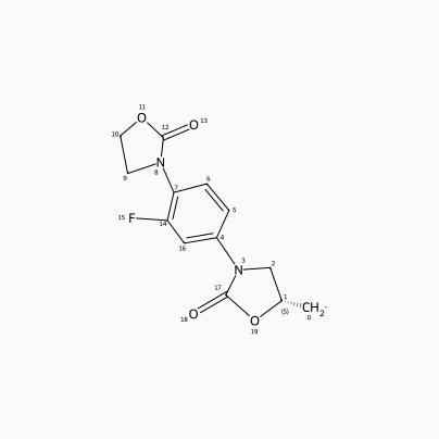 [CH2][C@H]1CN(c2ccc(N3CCOC3=O)c(F)c2)C(=O)O1